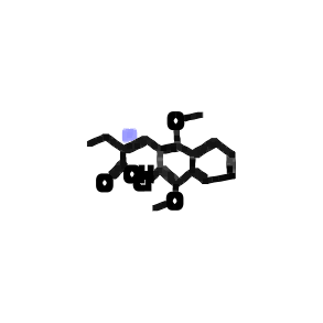 CC/C(=C/c1c(Cl)c(OC)c2ccccc2c1OC)C(=O)O